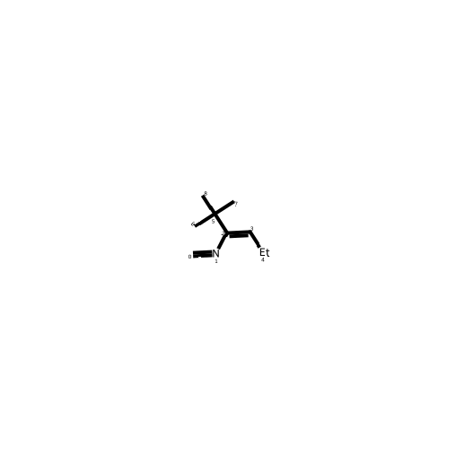 C=N/C(=C\CC)C(C)(C)C